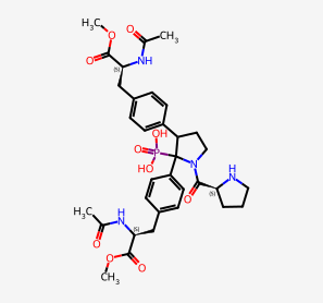 COC(=O)[C@H](Cc1ccc(C2CCN(C(=O)[C@@H]3CCCN3)C2(c2ccc(C[C@H](NC(C)=O)C(=O)OC)cc2)P(=O)(O)O)cc1)NC(C)=O